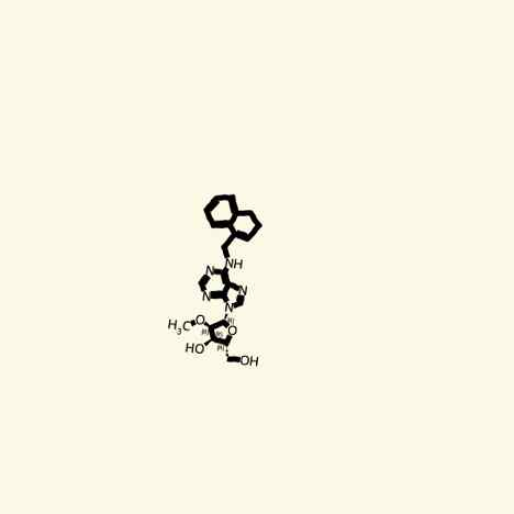 CO[C@@H]1[C@H](O)[C@@H](CO)O[C@H]1n1cnc2c(NCC3=CCCc4ccccc43)ncnc21